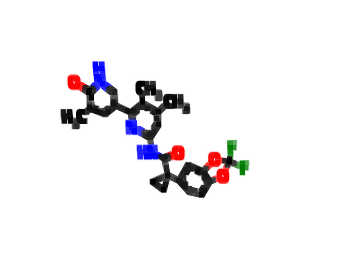 Cc1cc(NC(=O)C2(c3ccc4c(c3)OC(F)(F)O4)CC2)nc(-c2c[nH]c(=O)c(C)c2)c1C